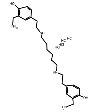 Cl.Cl.Cl.Cl.NCc1cc(CCNCCCCCCNCCc2ccc(O)c(CN)c2)ccc1O